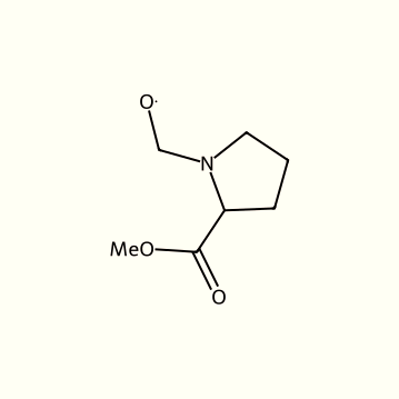 COC(=O)C1CCCN1C[O]